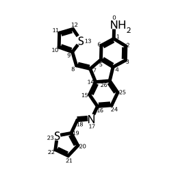 Nc1ccc2c(c1)C(=Cc1cccs1)c1cc(N=Cc3cccs3)ccc1-2